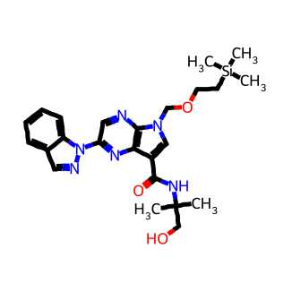 CC(C)(CO)NC(=O)c1cn(COCC[Si](C)(C)C)c2ncc(-n3ncc4ccccc43)nc12